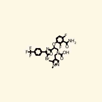 Cc1c(CN(CC(Oc2ccc(F)c(C(N)=O)c2F)c2nc(-c3ccc(C(F)(F)F)cc3)c(Br)o2)C(=O)O)cnn1C